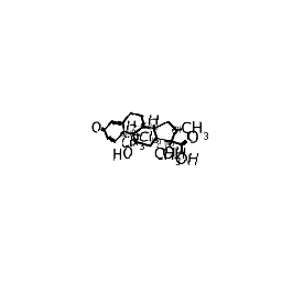 C[C@@H]1C[C@H]2[C@@H]3CCC4=CC(=O)C=C[C@]4(C)[C@@]3(Cl)[C@@H](O)C[C@]2(C)[C@@]1(O)C(=O)O